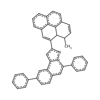 CC1C=Cc2ccc3cccc4c3c2C1C(c1cc2c3cc(-c5ccccc5)ccc3cc(-c3ccccc3)n2n1)=C4